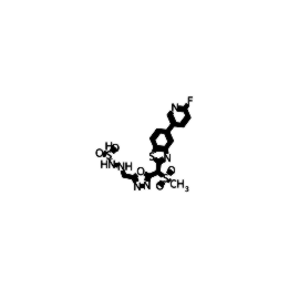 CS(=O)(=O)C(c1nnc(CNN[SH](=O)=O)o1)c1nc2cc(-c3ccc(F)nc3)ccc2s1